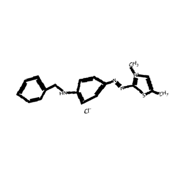 Cc1c[n+](C)c(/N=N/c2ccc(NCc3ccccc3)cc2)s1.[Cl-]